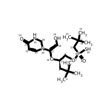 CC(C)(C)C[C@H](COP(=O)(S)CC(C)(C)C)O/C(=C/O)N1C=CC(=O)NC1